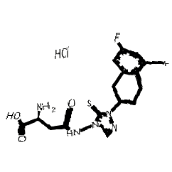 Cl.N[C@@H](CC(=O)Nn1cnn(C2CCc3c(F)cc(F)cc3C2)c1=S)C(=O)O